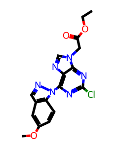 CCOC(=O)Cn1cnc2c(-n3ncc4cc(OC)ccc43)nc(Cl)nc21